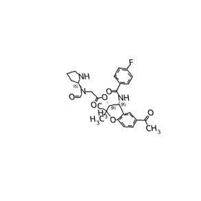 CC(=O)c1ccc2c(c1)[C@@H](NC(=O)c1ccc(F)cc1)[C@@H](OC(=O)CN(C=O)[C@H]1CCCN1)C(C)(C)O2